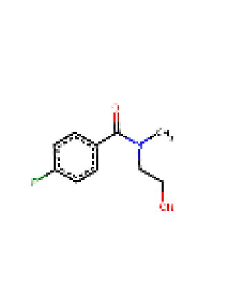 CN(CCO)C(=O)c1ccc(F)cc1